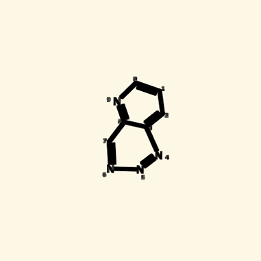 [c]1ccc2nnncc2n1